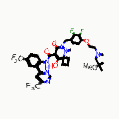 COC(C)(C)CN(C)CCOc1ccc(CN2C(=O)C(C(=O)Nc3ccc(C(F)(F)F)cc3-c3cc(C(F)(F)F)ncn3)=C(O)C3(CCC3)N2C)c(F)c1F